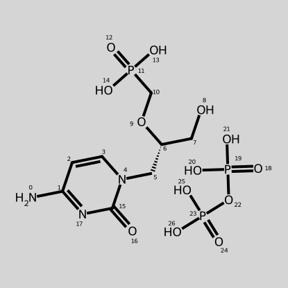 Nc1ccn(C[C@@H](CO)OCP(=O)(O)O)c(=O)n1.O=P(O)(O)OP(=O)(O)O